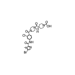 Cn1c(Br)cnc1C(=O)Nc1ccc(C(=O)N2CCN(C(=O)C3(O)CCN(C(=O)O)CC3)CC2)c(Cl)c1